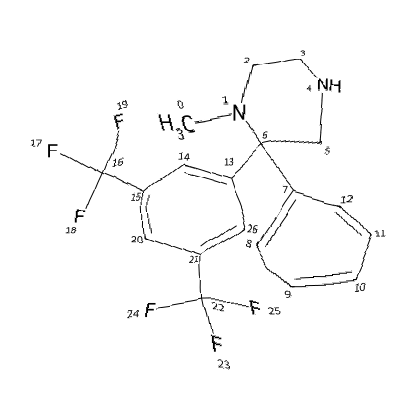 CN1CCNCC1(c1ccccc1)c1cc(C(F)(F)F)cc(C(F)(F)F)c1